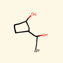 CCCC(O)C1CCC1O